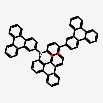 c1ccc2c(c1)c1ccccc1c1cc(-c3ccc(N(c4ccc5c6ccccc6c6ccccc6c5c4)c4cccc5c6ccccc6c6ccccc6c45)cc3)ccc21